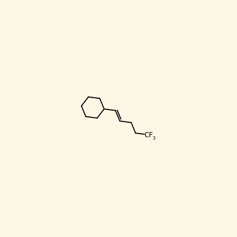 FC(F)(F)CCC=CC1CCCCC1